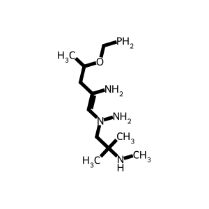 CNC(C)(C)CN(N)/C=C(\N)CC(C)OCP